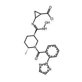 C[C@@H]1CC[C@@H](/C(=N/C2CC2C(=O)Cl)NO)CN1C(=O)c1ccccc1-n1nccn1